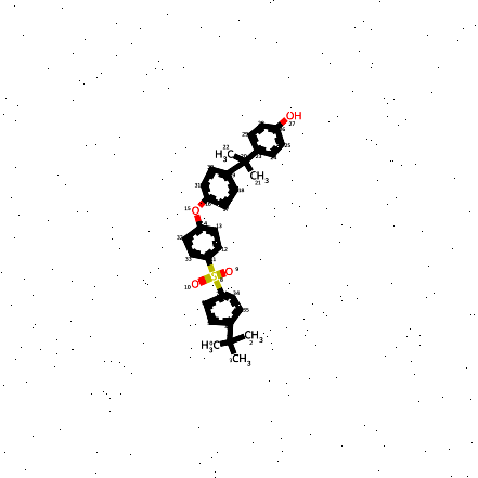 CC(C)(C)c1ccc(S(=O)(=O)c2ccc(Oc3ccc(C(C)(C)c4ccc(O)cc4)cc3)cc2)cc1